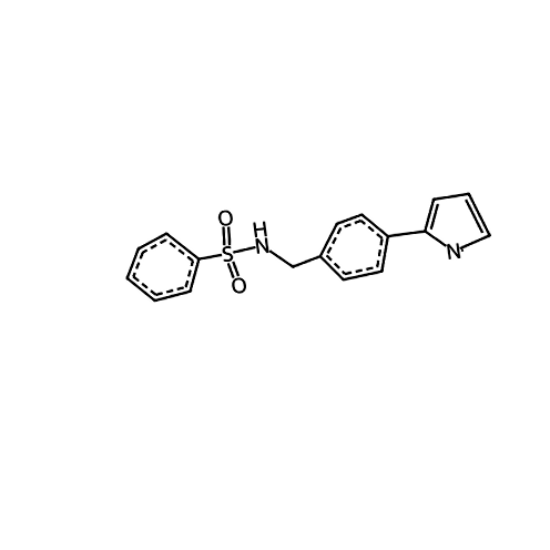 O=S(=O)(NCc1ccc(C2=CC=C[N]2)cc1)c1ccccc1